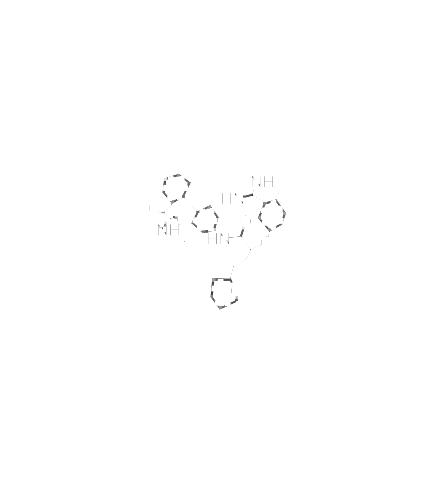 N=C(N)c1cccc(OC(CCc2ccccc2)C(=O)Nc2ccc(-c3ccccc3S(N)(=O)=O)cc2)c1